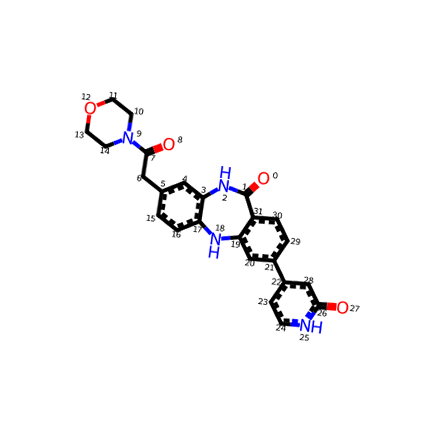 O=C1Nc2cc(CC(=O)N3CCOCC3)ccc2Nc2cc(-c3cc[nH]c(=O)c3)ccc21